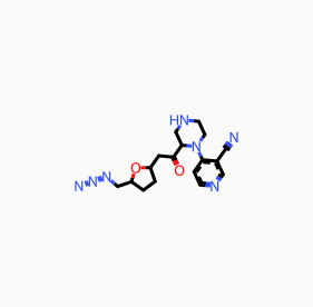 N#Cc1cnccc1N1CCNCC1C(=O)CC1CCC(CN=[N+]=[N-])O1